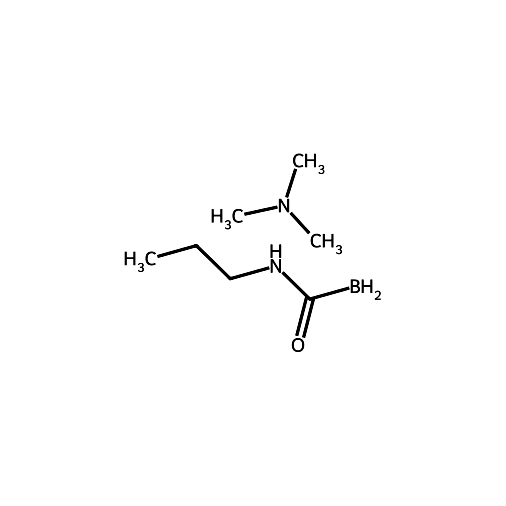 BC(=O)NCCC.CN(C)C